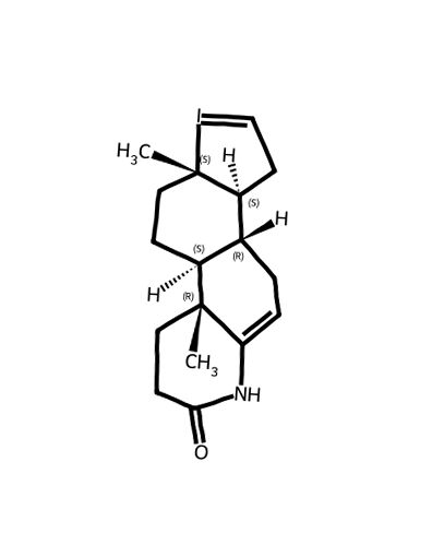 C[C@]12CCC(=O)NC1=CC[C@@H]1[C@@H]2CC[C@]2(C)I=CC[C@@H]12